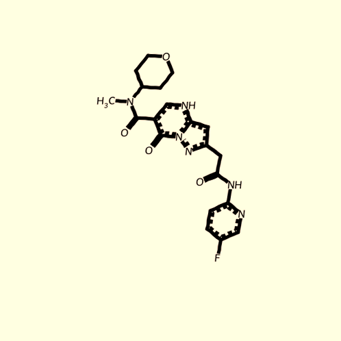 CN(C(=O)c1c[nH]c2cc(CC(=O)Nc3ccc(F)cn3)nn2c1=O)C1CCOCC1